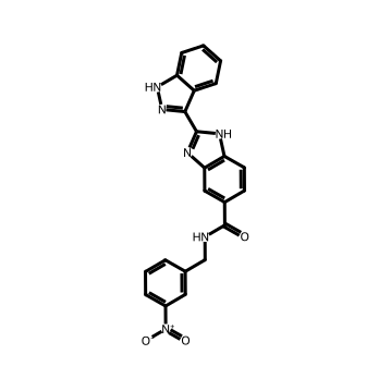 O=C(NCc1cccc([N+](=O)[O-])c1)c1ccc2[nH]c(-c3n[nH]c4ccccc34)nc2c1